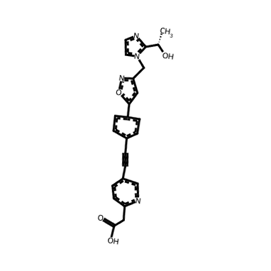 C[C@H](O)c1nccn1Cc1cc(-c2ccc(C#Cc3ccc(CC(=O)O)nc3)cc2)on1